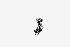 O=C1OCCN1c1ccc(S(=O)(=O)N2CCCC3(CCN(Cc4cc(F)ccc4F)CC3)C2)cn1